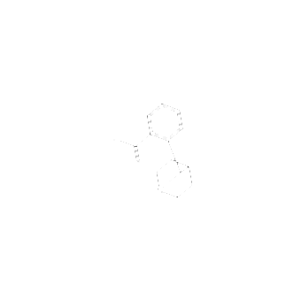 O=C(O)c1ccccc1C1CN2CCC1CC2